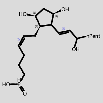 CCCCCC(O)/C=C/C1[C@H](O)C[C@H](O)[C@@H]1C/C=C\CCC[PH](=O)O